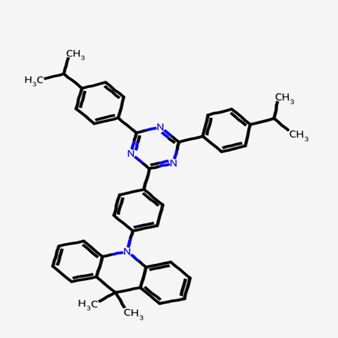 CC(C)c1ccc(-c2nc(-c3ccc(C(C)C)cc3)nc(-c3ccc(N4c5ccccc5C(C)(C)c5ccccc54)cc3)n2)cc1